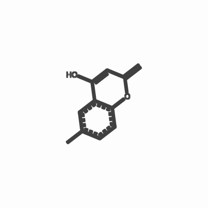 C=C1C=C(O)c2cc(C)ccc2O1